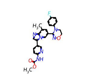 COC(=O)Nc1ccc(-c2cnc3c(C)cc(C4=NOCCN4c4ccc(F)cc4)cn23)cn1